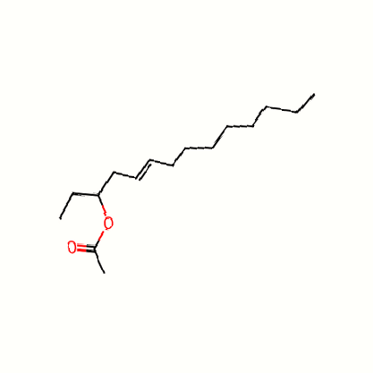 CCCCCCCCC=CCC(CC)OC(C)=O